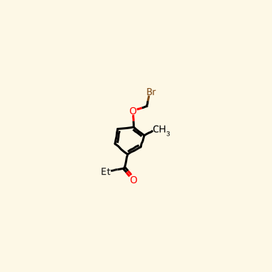 CCC(=O)c1ccc(OCBr)c(C)c1